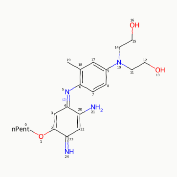 CCCCCOC1=C/C(=N/c2ccc(N(CCO)CCO)cc2C)C(N)=CC1=N